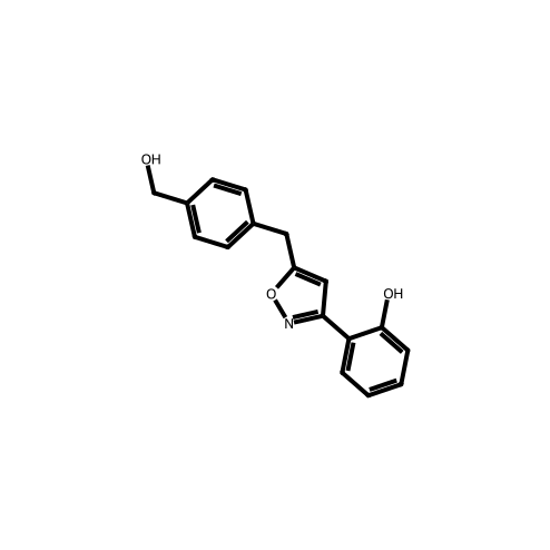 OCc1ccc(Cc2cc(-c3ccccc3O)no2)cc1